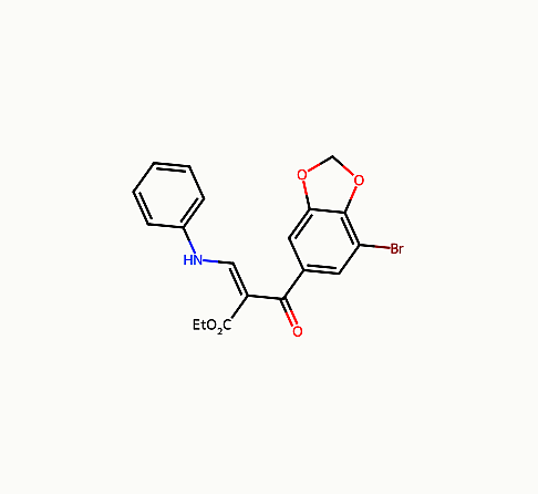 CCOC(=O)C(=CNc1ccccc1)C(=O)c1cc(Br)c2c(c1)OCO2